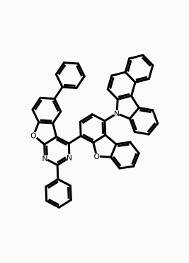 c1ccc(-c2ccc3oc4nc(-c5ccccc5)nc(-c5ccc(-n6c7ccccc7c7c8ccccc8ccc76)c6c5oc5ccccc56)c4c3c2)cc1